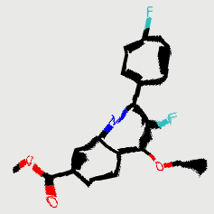 CCOc1c(F)c(-c2ccc(F)cc2)nc2cc(C(=O)OC)ccc12